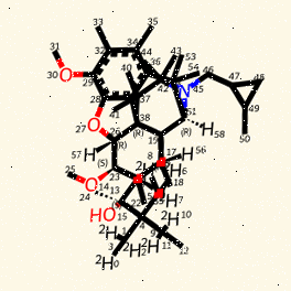 [2H]C([2H])([2H])C(C([2H])([2H])[2H])(C([2H])([2H])C)[C@@](C)(O)[C@H]1[C@@H](C)C23CC(C)[C@@]1(OC)[C@@H]1Oc4c(OC)c(C)c(C)c5c4[C@@]12C(C)(C)C(C)(C)N(CC1CC1C)[C@@H]3C5(C)C